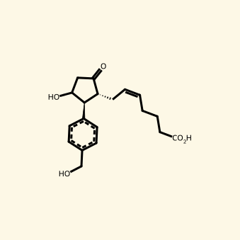 O=C(O)CCC/C=C\C[C@H]1C(=O)CC(O)[C@@H]1c1ccc(CO)cc1